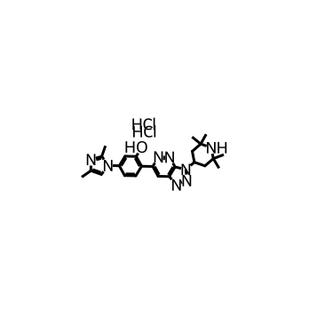 Cc1cn(-c2ccc(-c3cc4nnn(C5CC(C)(C)NC(C)(C)C5)c4nn3)c(O)c2)c(C)n1.Cl.Cl